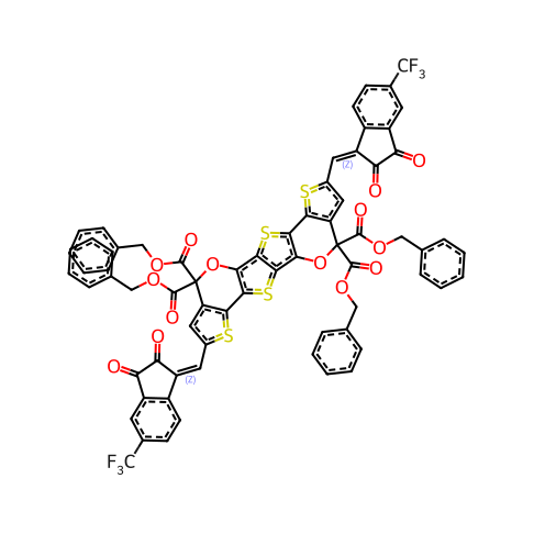 O=C1C(=O)c2cc(C(F)(F)F)ccc2/C1=C/c1cc2c(s1)-c1sc3c4c(sc3c1OC2(C(=O)OCc1ccccc1)C(=O)OCc1ccccc1)-c1sc(/C=C2\C(=O)C(=O)c3cc(C(F)(F)F)ccc32)cc1C(C(=O)OCc1ccccc1)(C(=O)OCc1ccccc1)O4